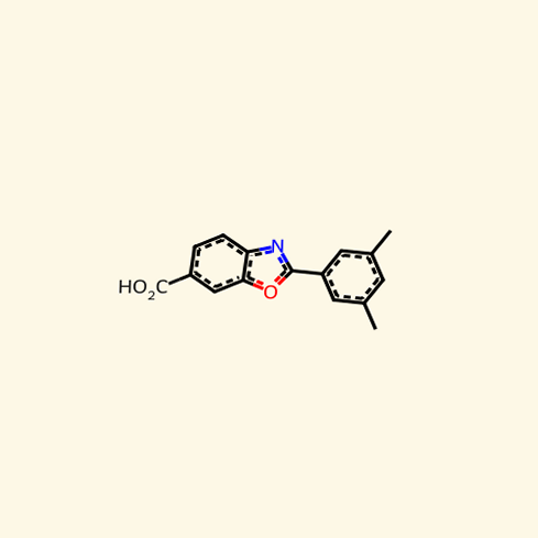 Cc1cc(C)cc(-c2nc3ccc(C(=O)O)cc3o2)c1